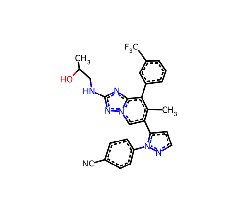 Cc1c(-c2ccnn2-c2ccc(C#N)cc2)cn2nc(NCC(C)O)nc2c1-c1cccc(C(F)(F)F)c1